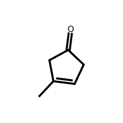 CC1=CCC(=O)C1